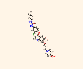 COc1cc2c(Oc3ccc(NC(=O)NCCC(C)(C)C)cc3F)ccnc2cc1OCCCN1CCC(O)CC1